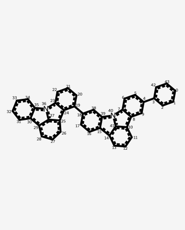 c1ccc(-c2ccc3c(c2)c2cccc4c5ccc(-c6cccc7c6c6cccc8c9ccccc9n7c86)cc5n3c24)cc1